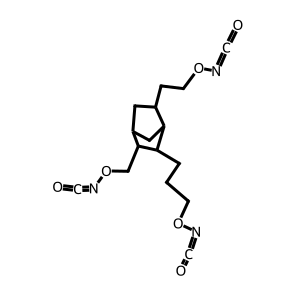 O=C=NOCCCC1C(CON=C=O)C2CC(CCON=C=O)C1C2